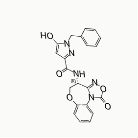 O=C(N[C@H]1COc2ccccc2-n2c1noc2=O)c1cc(O)n(Cc2ccccc2)n1